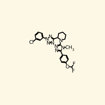 Cn1c(-c2ccc(OC(F)F)cc2)nnc1N1CCCCC1c1nnn(-c2cccc(Cl)c2)n1